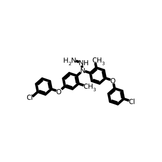 Cc1cc(Oc2cccc(Cl)c2)ccc1N(NN)c1ccc(Oc2cccc(Cl)c2)cc1C